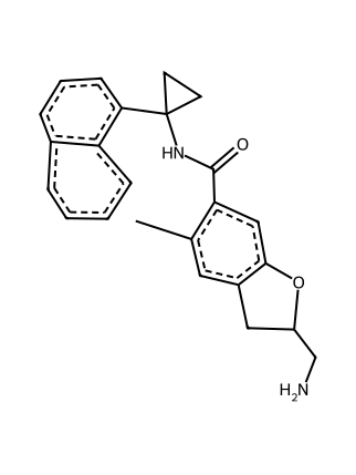 Cc1cc2c(cc1C(=O)NC1(c3cccc4ccccc34)CC1)OC(CN)C2